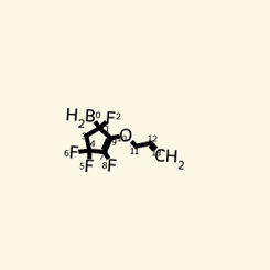 BC1(F)CC(F)(F)C(F)=C1OCC=C